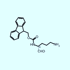 NCCC[C@H]([C]=O)NC(=O)OCC1c2ccccc2-c2ccccc21